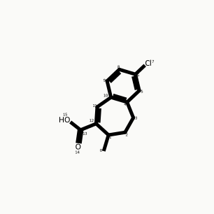 CC1CCc2cc(Cl)ccc2C=C1C(=O)O